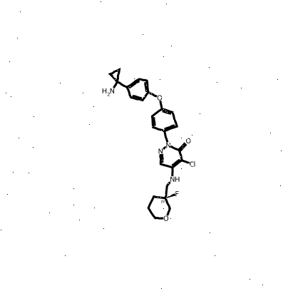 NC1(c2ccc(Oc3ccc(-n4ncc(NC[C@@]5(F)CCCOC5)c(Cl)c4=O)cc3)cc2)CC1